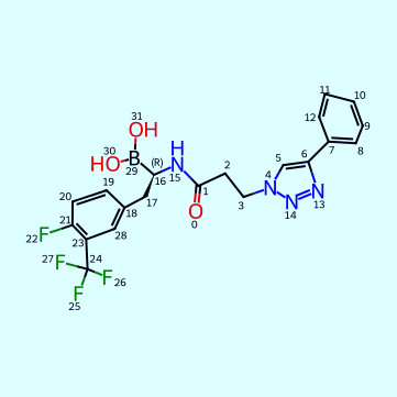 O=C(CCn1cc(-c2ccccc2)nn1)N[C@@H](Cc1ccc(F)c(C(F)(F)F)c1)B(O)O